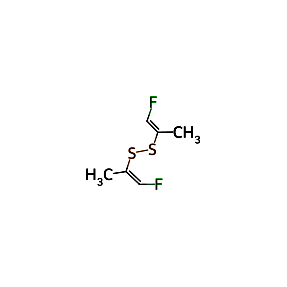 CC(=CF)SSC(C)=CF